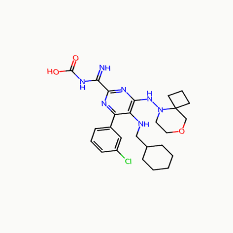 N=C(NC(=O)O)c1nc(NN2CCOCC23CCC3)c(NCC2CCCCC2)c(-c2cccc(Cl)c2)n1